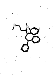 CN(C)CCc1c(CC(c2ccccc2)c2ccccc2)c2ccccc2n1C.Cl